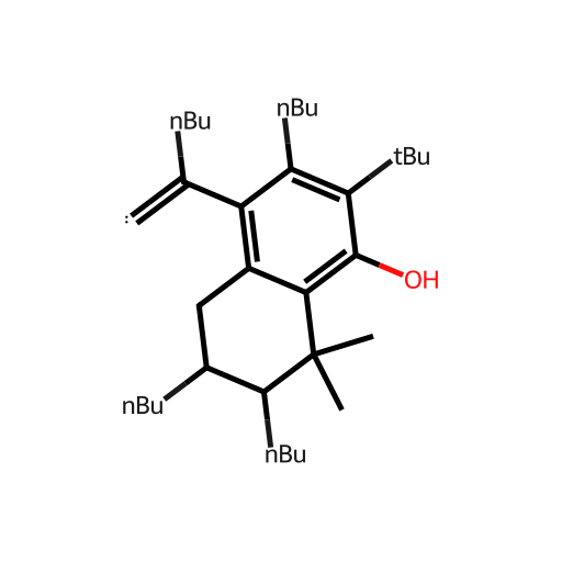 [C]=C(CCCC)c1c(CCCC)c(C(C)(C)C)c(O)c2c1CC(CCCC)C(CCCC)C2(C)C